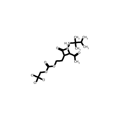 CC(=O)C1C(CCOC(=O)OCC(Cl)(Cl)Cl)C(=O)N1[SiH2]C(C)(C)C(C)C